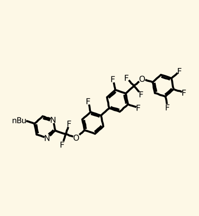 CCCCc1cnc(C(F)(F)Oc2ccc(-c3cc(F)c(C(F)(F)Oc4cc(F)c(F)c(F)c4)c(F)c3)c(F)c2)nc1